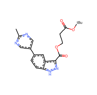 Cc1ncc(-c2ccc3[nH]nc(C(=O)OCCC(=O)OC(C)(C)C)c3c2)cn1